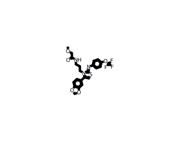 COCC(=O)NCCCn1c(-c2ccc3c(c2)OCO3)cs/c1=N\c1ccc(OC(F)(F)F)cc1